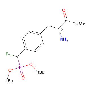 COC(=O)[C@H](N)Cc1ccc(C(F)P(=O)(OC(C)(C)C)OC(C)(C)C)cc1